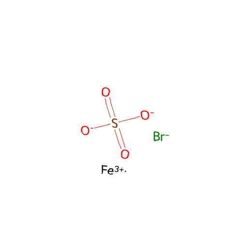 O=S(=O)([O-])[O-].[Br-].[Fe+3]